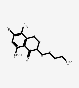 CC(=O)Nc1cc(F)c(C)c2c1C(=O)C(CCCCOC(C)=O)CC2